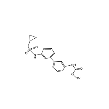 CC(C)OC(=O)Nc1cccc(-c2cccc(NS(=O)(=O)CC3CC3)c2)c1